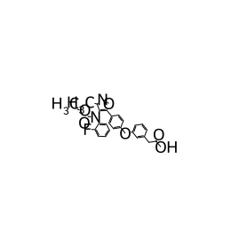 CCOC(=O)N(c1ccccc1F)c1c(C)noc1-c1ccc(Oc2cccc(CC(=O)O)c2)cc1